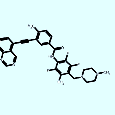 Cc1ccc(C(=O)Nc2c(F)c(C)c(CN3CCN(C)CC3)c(F)c2F)cc1C#Cc1cccc2ncncc12